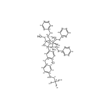 OCC12OC(c3ccc(Cl)c(Cc4ccc(OCC(F)(F)F)cc4)c3)(O1)[C@H](OCc1ccccc1)[C@@H](OCc1ccccc1)[C@@H]2OCc1ccccc1